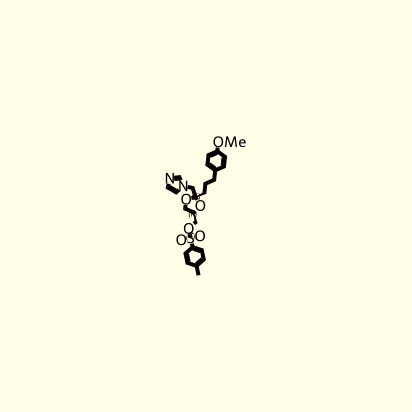 COc1ccc(CCC[C@]2(Cn3ccnc3)OC[C@H](COS(=O)(=O)c3ccc(C)cc3)O2)cc1